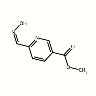 COC(=O)c1ccc(/C=N\O)nc1